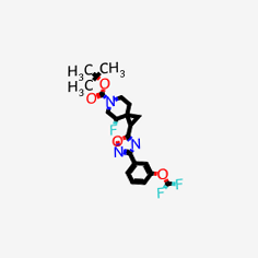 CC(C)(C)OC(=O)N1CCC2(CC2c2nc(-c3cccc(OC(F)F)c3)no2)C(F)C1